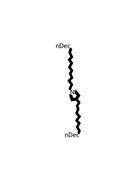 CCCCCCCCCCCCCCCCCCCCCC[n+]1ccc(CCCCCCCCCCCCCCCCCCC)cc1